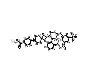 COc1cc(CN2CCN(C3CC4(CCN(c5ccc(C(N)=O)cc5)CC4)C3)C(c3ccccc3C(C)C)C2)cc(C(F)(F)F)c1